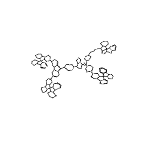 CC1CC2C=CC=CC2C12C(C)C(CCCC1CCC(N(C3CCC(C4CCC5C6CC=CC=C6C6(c7ccccc7C7CCCCC76)C5C4)CC3)C3CCC(C4CCC(C5C6CCC(C7CCC8C9CCCCC9C9(C%10C=CC=CC%10C%10CCCCC%109)C8C7)CC6C6CC(C7CCC8C9CCCCC9C9(C%10CC=CCC%10C%10CCCCC%109)C8C7)CCC65)CC4)C4CCCC43)CC1)C1CCCCC12